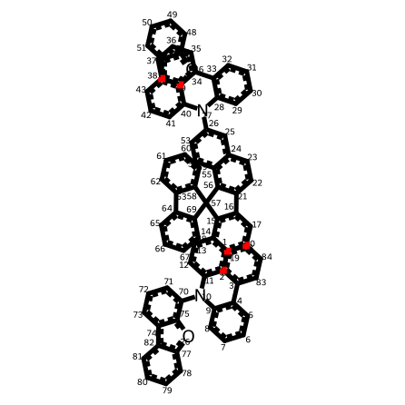 c1ccc(-c2ccccc2N(c2ccc3c4c(ccc3c2)-c2ccc3cc(N(c5ccccc5-c5ccccc5)c5cccc6c5oc5ccccc56)ccc3c2C42c3ccccc3-c3ccccc32)c2cccc3c2oc2ccccc23)cc1